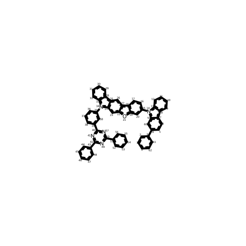 c1ccc(-c2ccc3c4ccccc4n(-c4ccc5c(c4)oc4cc6c(cc45)c4ccccc4n6-c4cccc(-c5nc(-c6ccccc6)nc(-c6ccccc6)n5)c4)c3c2)cc1